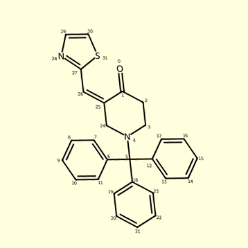 O=C1CCN(C(c2ccccc2)(c2ccccc2)c2ccccc2)CC1=Cc1nccs1